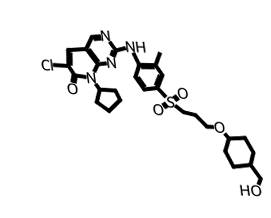 Cc1cc(S(=O)(=O)CCCOC2CCC(CO)CC2)ccc1Nc1ncc2cc(Cl)c(=O)n(C3CCCC3)c2n1